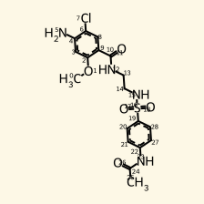 COc1cc(N)c(Cl)cc1C(=O)NCCNS(=O)(=O)c1ccc(NC(C)=O)cc1